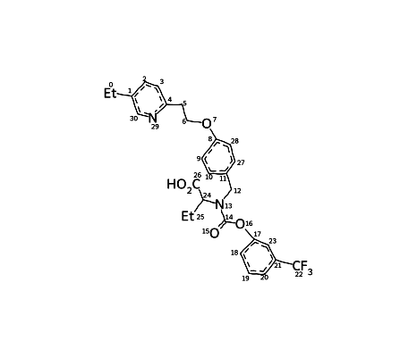 CCc1ccc(CCOc2ccc(CN(C(=O)Oc3cccc(C(F)(F)F)c3)C(CC)C(=O)O)cc2)nc1